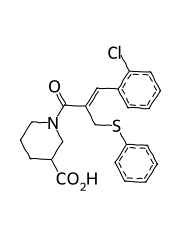 O=C(O)C1CCCN(C(=O)C(=Cc2ccccc2Cl)CSc2ccccc2)C1